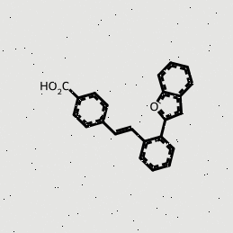 O=C(O)c1ccc(C=Cc2ccccc2-c2cc3ccccc3o2)cc1